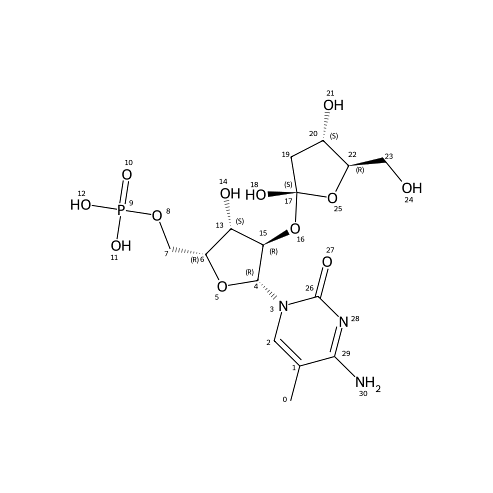 Cc1cn([C@@H]2O[C@H](COP(=O)(O)O)[C@H](O)[C@H]2O[C@]2(O)C[C@H](O)[C@@H](CO)O2)c(=O)nc1N